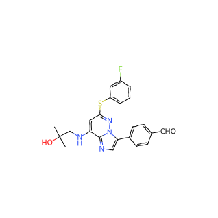 CC(C)(O)CNc1cc(Sc2cccc(F)c2)nn2c(-c3ccc(C=O)cc3)cnc12